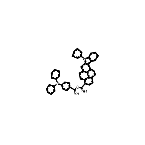 N=C(OC(=N)c1ccc2ccc3c4c(ccc1c24)cc1c3c2ccccc2n1-c1ccccc1)c1ccc(N(c2ccccc2)c2ccccc2)cc1